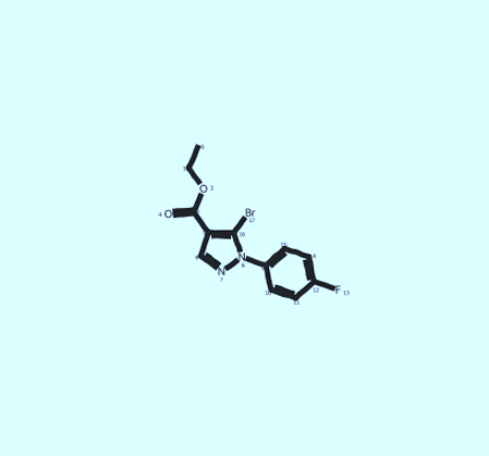 CCOC(=O)c1cnn(-c2ccc(F)cc2)c1Br